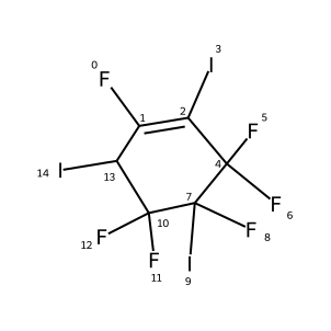 FC1=C(I)C(F)(F)C(F)(I)C(F)(F)C1I